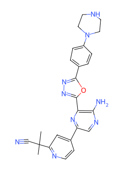 CC(C)(C#N)c1cc(-c2cnc(N)c(-c3nnc(-c4ccc(N5CCNCC5)cc4)o3)n2)ccn1